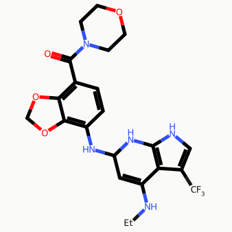 CCNC1=CC(Nc2ccc(C(=O)N3CCOCC3)c3c2OCO3)Nc2[nH]cc(C(F)(F)F)c21